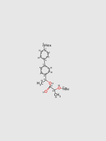 CCCCCCc1ccc(-c2ccc(C(C)OC(=O)C(C)OCCCC)cc2)cc1